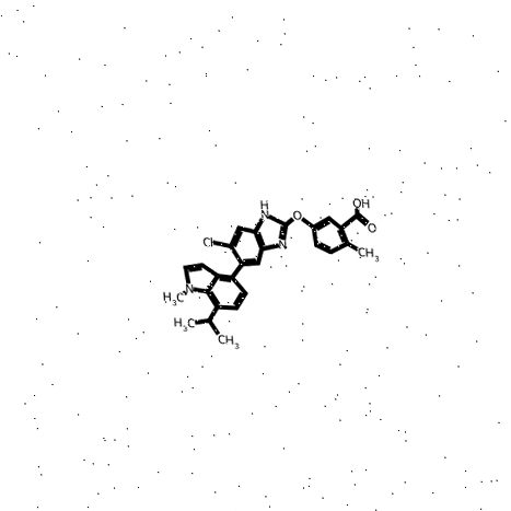 Cc1ccc(Oc2nc3cc(-c4ccc(C(C)C)c5c4ccn5C)c(Cl)cc3[nH]2)cc1C(=O)O